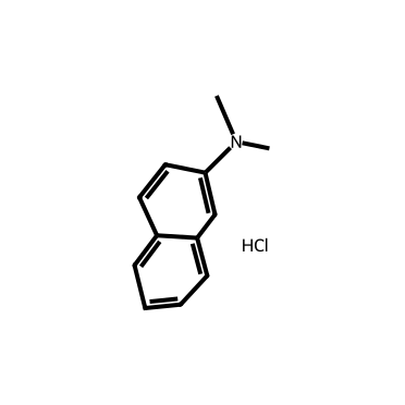 CN(C)c1ccc2ccccc2c1.Cl